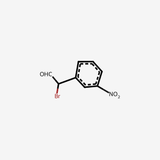 O=CC(Br)c1cccc([N+](=O)[O-])c1